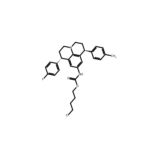 Cc1ccc([C@@H]2CCN3CC[C@@H](c4ccc(F)cc4)c4cc(NC(=O)OCCCCCl)cc2c43)cc1